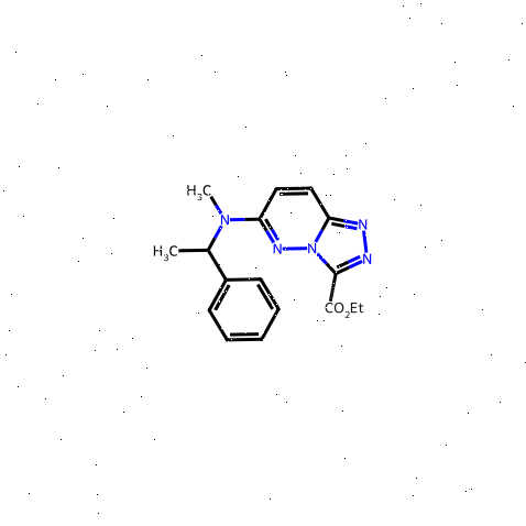 CCOC(=O)c1nnc2ccc(N(C)C(C)c3ccccc3)nn12